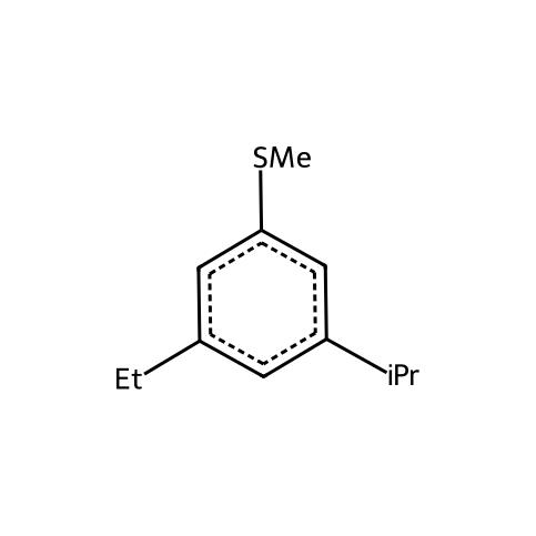 CCc1cc(SC)cc(C(C)C)c1